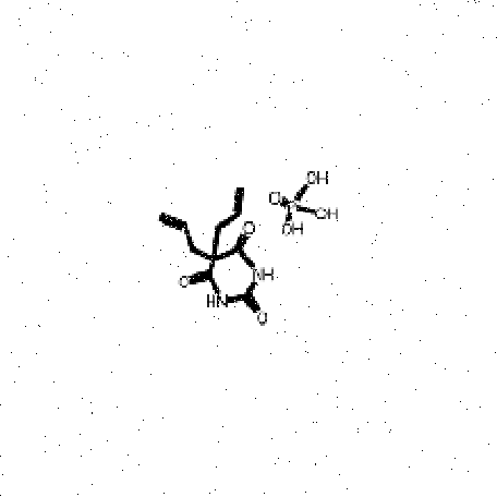 C=CCC1(CC=C)C(=O)NC(=O)NC1=O.O=P(O)(O)O